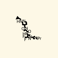 CC(C)N1CC(n2cc(NC(=O)c3coc(-c4ccnc(NCC5CC5)c4)n3)c(C(F)F)n2)C1